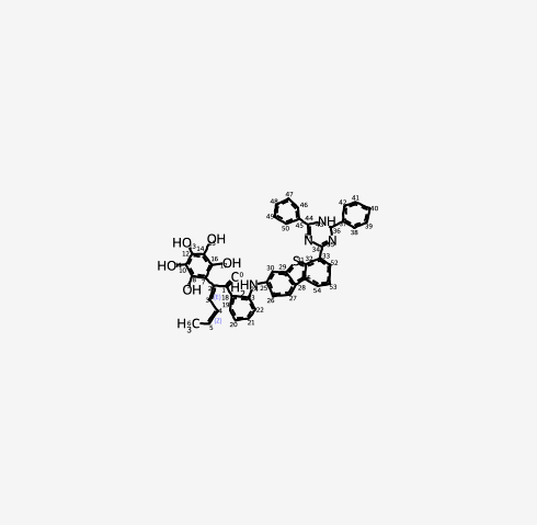 C=C(/C(=C\C=C/C)c1c(O)c(O)c(O)c(O)c1O)c1ccccc1Nc1ccc2c(c1)sc1c(C3=NC(c4ccccc4)NC(c4ccccc4)=N3)cccc12